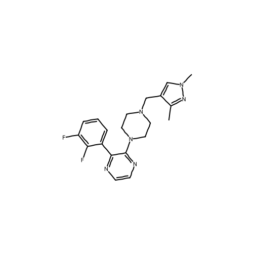 Cc1nn(C)cc1CN1CCN(c2nccnc2-c2cccc(F)c2F)CC1